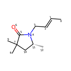 C/C=C/CN1C(=O)C(C)(C)C[C@H]1C